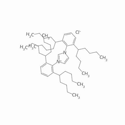 CCCCC(CCCC)c1cccc(C(CCCC)CCCC)c1-n1cc[n+](-c2c(C(CCCC)CCCC)cccc2C(CCCC)CCCC)c1.[Cl-]